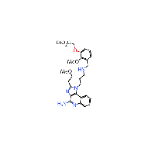 CCOC(=O)COc1cccc(CNCCCn2c(CCOC)nc3c(N)nc4ccccc4c32)c1OC